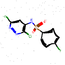 O=S(=O)(Nc1cc(Cl)nnc1Cl)c1ccc(F)cc1